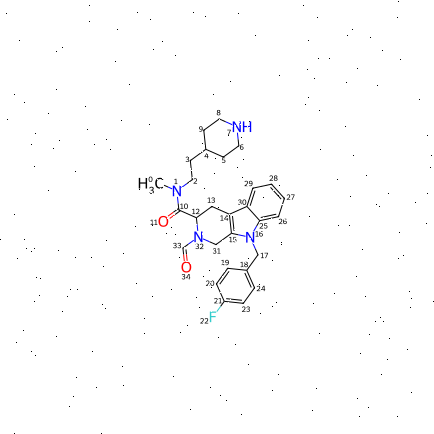 CN(CCC1CCNCC1)C(=O)C1Cc2c(n(Cc3ccc(F)cc3)c3ccccc23)CN1C=O